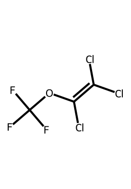 FC(F)(F)OC(Cl)=C(Cl)Cl